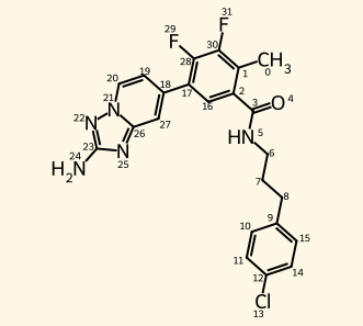 Cc1c(C(=O)NCCCc2ccc(Cl)cc2)cc(-c2ccn3nc(N)nc3c2)c(F)c1F